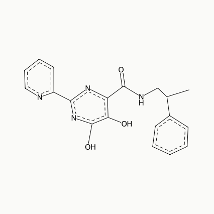 CC(CNC(=O)c1nc(-c2ccccn2)nc(O)c1O)c1ccccc1